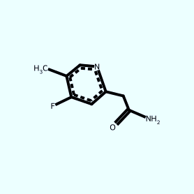 Cc1cnc(CC(N)=O)cc1F